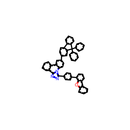 c1ccc(C2(c3ccccc3)c3ccccc3-c3ccc(-c4ccc5c(c4)c4ccccc4c4nnc(-c6ccc(-c7cccc8c7oc7ccccc78)cc6)n54)cc32)cc1